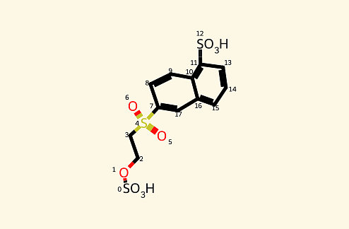 O=S(=O)(O)OCCS(=O)(=O)c1ccc2c(S(=O)(=O)O)cccc2c1